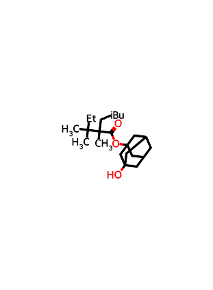 CCC(C)CC(C)(C(=O)OC12CC3CC(CC(O)(C3)C1)C2)C(C)(C)CC